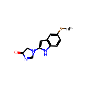 CCCSc1ccc2[nH]c(N3C=NC(=O)C3)cc2c1